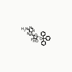 Nc1ncnc2c1ncn2[C@@H]1O[C@H](COC(c2ccccc2)(c2ccccc2)c2ccccc2)[C@@H](O)[C@H]1F